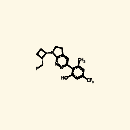 Cc1cc(C(F)(F)F)cc(O)c1-c1cc2c(nn1)N([C@@H]1CC[C@H]1CF)CC2